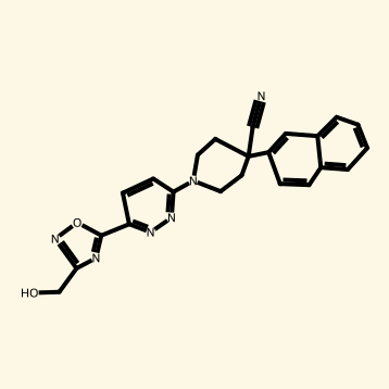 N#CC1(c2ccc3ccccc3c2)CCN(c2ccc(-c3nc(CO)no3)nn2)CC1